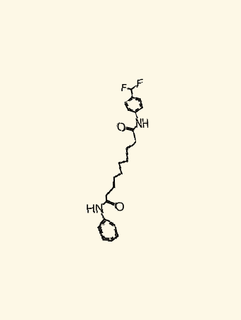 O=C(CCCCCCCCC(=O)Nc1ccc([C](F)F)cc1)Nc1ccccc1